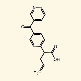 C=CCC(C(=O)O)c1ccc(C(=O)c2cccnc2)cc1